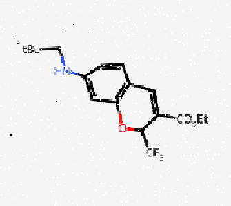 CCOC(=O)C1=Cc2ccc(NCC(C)(C)C)cc2OC1C(F)(F)F